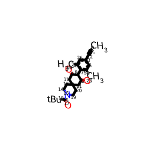 CC#Cc1cc(C)c(C2C(=O)CC3(CCN(C(=O)C(C)(C)C)CC3)CC2=O)c(C)c1